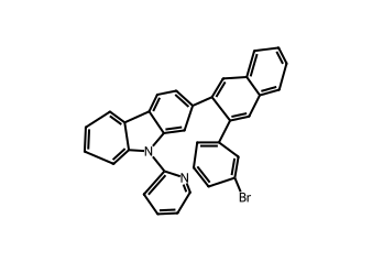 Brc1cccc(-c2cc3ccccc3cc2-c2ccc3c4ccccc4n(-c4ccccn4)c3c2)c1